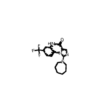 O=c1[nH]c2cc(C(F)(F)F)ccc2n2c(N3CCCCCC3)ncc12